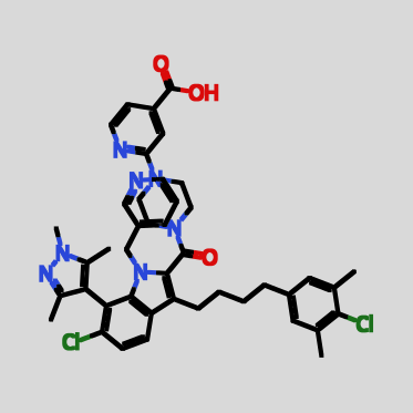 Cc1cc(CCCCc2c(C(=O)N3CCN(c4cc(C(=O)O)ccn4)CC3)n(Cc3cccnc3)c3c(-c4c(C)nn(C)c4C)c(Cl)ccc23)cc(C)c1Cl